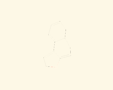 [C]1=C2C(=CCC3CC=CC=C23)OC1